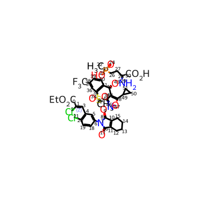 CCOC(=O)/C(Cl)=C/c1cc(N2C(=O)C3=C(CCCC3)C2=O)ccc1Cl.CP(=O)(O)CCC(N)C(=O)O.CS(=O)(=O)c1cc(C(F)(F)F)ccc1C(=O)c1cnoc1C1CC1